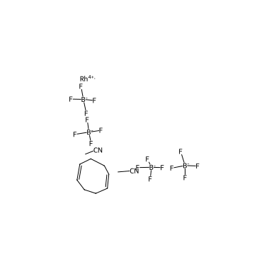 C1=C\CC/C=C\CC/1.CC#N.CC#N.F[B-](F)(F)F.F[B-](F)(F)F.F[B-](F)(F)F.F[B-](F)(F)F.[Rh+4]